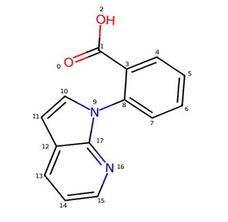 O=C(O)c1ccccc1-n1ccc2cccnc21